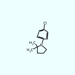 CC1(C)CCCN1c1ccc(Cl)cc1